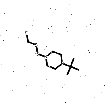 CC(C)(C)N1CCN(SSCF)CC1